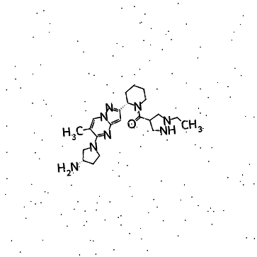 CCN1CC(C(=O)N2CCCC[C@H]2c2cc3nc(N4CC[C@H](N)C4)c(C)cn3n2)CN1